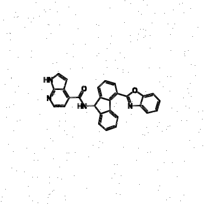 O=C(NC1c2ccccc2-c2c(-c3nc4ccccc4o3)cccc21)c1ccnc2[nH]ccc12